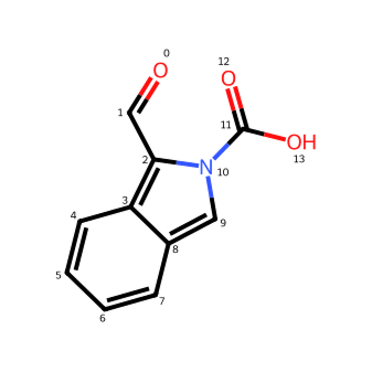 O=Cc1c2ccccc2cn1C(=O)O